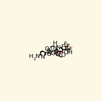 Nc1ccc(S(=O)(=O)N2CCN[C@](CN3C4COCC3CC(O)C4)(c3ncc(C(O)(C(F)(F)F)C(F)(F)F)cn3)C2)cn1